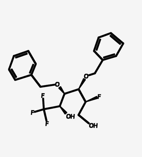 OC[C@H](F)[C@H](OCc1ccccc1)[C@H](OCc1ccccc1)[C@@H](O)C(F)(F)F